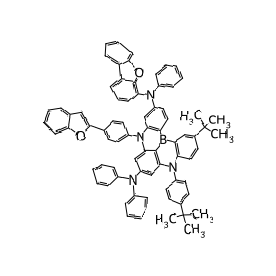 CC(C)(C)c1ccc(N2c3ccc(C(C)(C)C)cc3B3c4ccc(N(c5ccccc5)c5cccc6c5oc5ccccc56)cc4N(c4ccc(-c5cc6ccccc6o5)cc4)c4cc(N(c5ccccc5)c5ccccc5)cc2c43)cc1